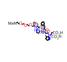 CNCCOCCOCCOCC(=O)N[C@@H](CC(C)C)C(=O)N1CCC[C@H]1C(=O)NC(Cc1ccccc1)C(=O)N[C@@H](Cc1ccccc1)C(=O)NC(CC(=O)O)C(=O)O